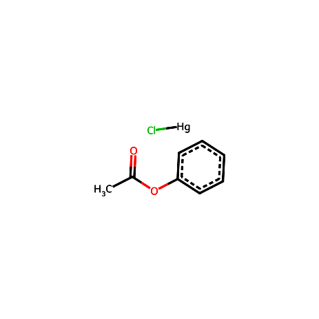 CC(=O)Oc1ccccc1.[Cl][Hg]